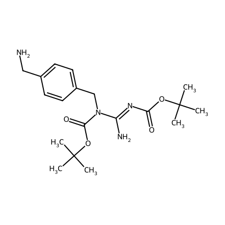 CC(C)(C)OC(=O)N=C(N)N(Cc1ccc(CN)cc1)C(=O)OC(C)(C)C